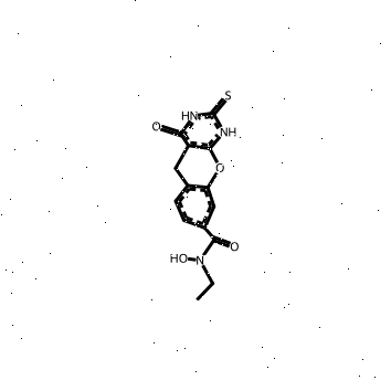 CCN(O)C(=O)c1ccc2c(c1)Oc1[nH]c(=S)[nH]c(=O)c1C2